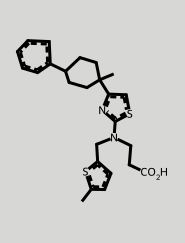 Cc1ccc(CN(CCC(=O)O)c2nc(C3(C)CCC(c4ccccc4)CC3)cs2)s1